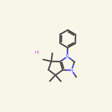 CN1CN(c2ccccc2)C2=C1C(C)(C)CC2(C)C.I